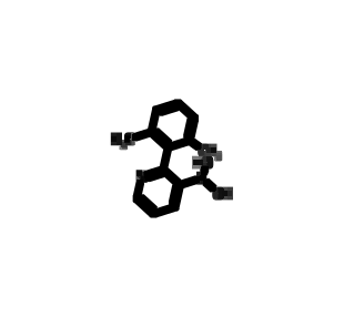 Cc1cccc(C)c1-c1ncccc1B(O)O